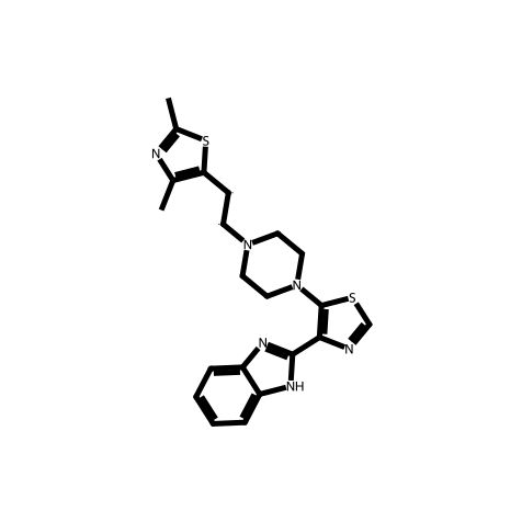 Cc1nc(C)c([CH][CH]N2CCN(c3scnc3-c3nc4ccccc4[nH]3)CC2)s1